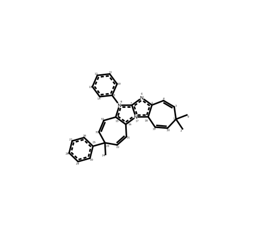 CC1(C)C=Cc2nc3n(-c4ccccc4)c4c(n3c2C=C1)C=CC(C)(c1ccccc1)C=C4